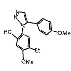 CCc1cc(-n2nncc2-c2ccc(OC)cc2)c(O)cc1OC